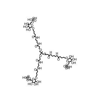 CC(COCCC(=O)NCCCNC(=O)CCCCOC1OC(COP(=O)(O)O)C(O)C(O)C1O)(COCCC(=O)NCCCNC(=O)CCCCOC1OC(COP(=O)(O)O)C(O)C(O)C1O)COCCC(=O)NCCCNC(=O)CCCCOC1OC(COP(=O)(O)O)C(O)C(O)C1O